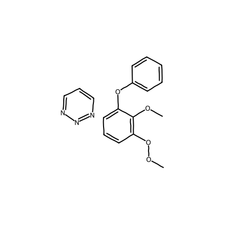 COOc1cccc(Oc2ccccc2)c1OC.c1cnnnc1